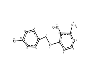 Nc1ncnc(OCc2ccc(Cl)cc2)c1C=O